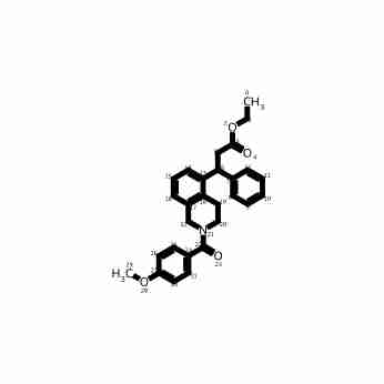 CCOC(=O)CC(c1ccccc1)c1cccc2c1CCN(C(=O)c1ccc(OC)cc1)C2